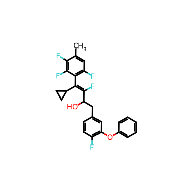 Cc1cc(F)c(C(=C(F)C(O)Cc2ccc(F)c(Oc3ccccc3)c2)C2CC2)c(F)c1F